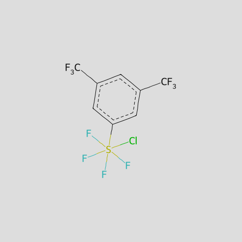 FC(F)(F)c1cc(C(F)(F)F)cc(S(F)(F)(F)(F)Cl)c1